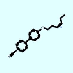 CC/C=C\CCOc1ccc(-c2ccc(C#N)cc2)cc1